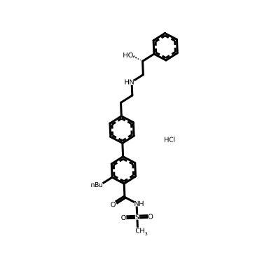 CCCCc1cc(-c2ccc(CCNC[C@H](O)c3ccccc3)cc2)ccc1C(=O)NS(C)(=O)=O.Cl